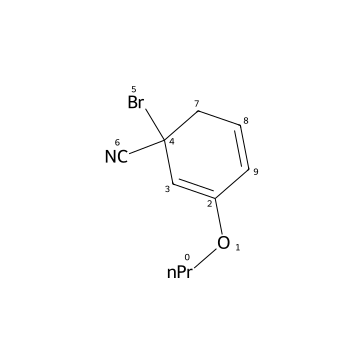 CCCOC1=CC(Br)(C#N)CC=C1